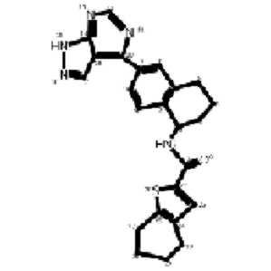 O=C(NC1CCCc2cc(-c3ncnc4[nH]ncc34)ccc21)c1cc2c(s1)CCCC2